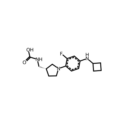 O=C(O)NC[C@H]1CCN(c2ccc(NC3CCC3)cc2F)C1